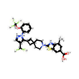 Cc1cc(C(=O)O)cc2sc(N3CCC4(C=C(c5c(C(F)F)cnn5-c5ccccc5OC(F)(F)F)C4)CC3)nc12